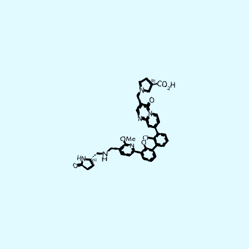 COc1nc(-c2cccc(-c3cccc(-c4ccn5c(=O)c(CN6CC[C@@H](C(=O)O)C6)cnc5c4)c3Cl)c2Cl)ccc1CNC[C@@H]1CCC(=O)N1